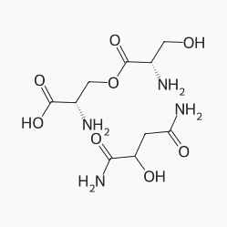 NC(=O)CC(O)C(N)=O.N[C@@H](COC(=O)[C@@H](N)CO)C(=O)O